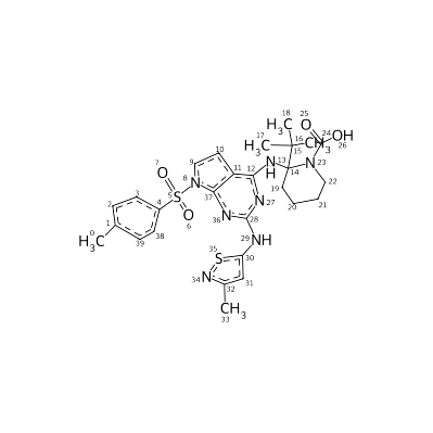 Cc1ccc(S(=O)(=O)n2ccc3c(NC4(C(C)(C)C)CCCCN4C(=O)O)nc(Nc4cc(C)ns4)nc32)cc1